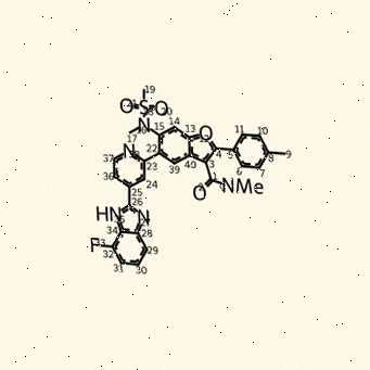 CNC(=O)c1c(-c2ccc(C)cc2)oc2cc(N(C)S(C)(=O)=O)c(-c3cc(-c4nc5cccc(F)c5[nH]4)ccn3)cc12